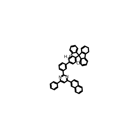 Cc1ccccc1C1(c2ccc(-c3cccc(-c4nc(-c5ccccc5)cc(-c5ccc6ccccc6c5)n4)c3)cc2C)C2=C(CCC=C2)c2ccccc21